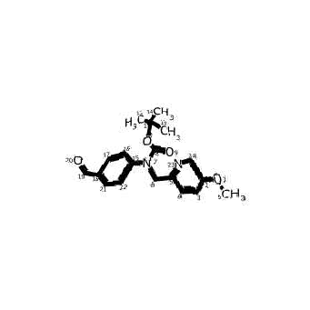 COc1ccc(CN(C(=O)OC(C)(C)C)c2ccc(C=O)cc2)nc1